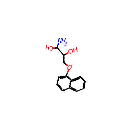 NC(O)C(O)COc1cccc2ccccc12